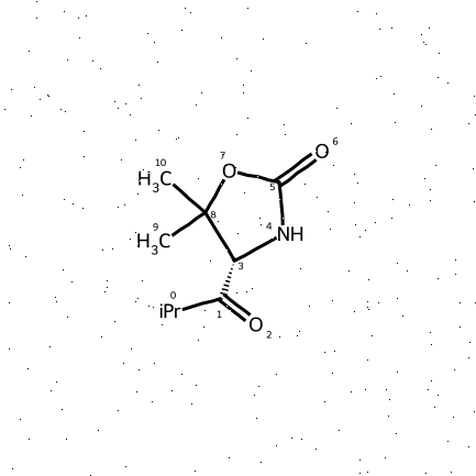 CC(C)C(=O)[C@H]1NC(=O)OC1(C)C